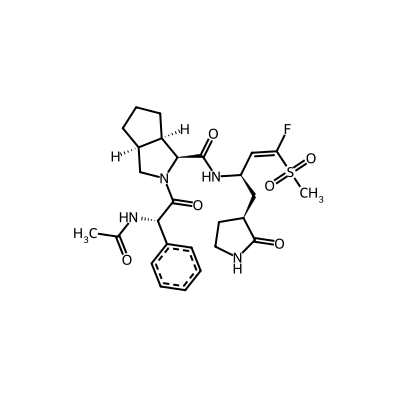 CC(=O)N[C@H](C(=O)N1C[C@H]2CCC[C@H]2[C@H]1C(=O)N[C@@H](/C=C(/F)S(C)(=O)=O)C[C@@H]1CCNC1=O)c1ccccc1